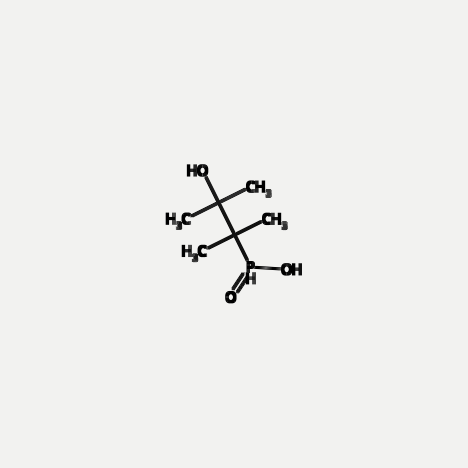 CC(C)(O)C(C)(C)[PH](=O)O